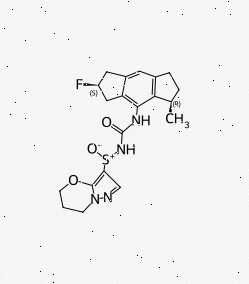 C[C@@H]1CCc2cc3c(c(NC(=O)N[S+]([O-])c4cnn5c4OCCC5)c21)C[C@@H](F)C3